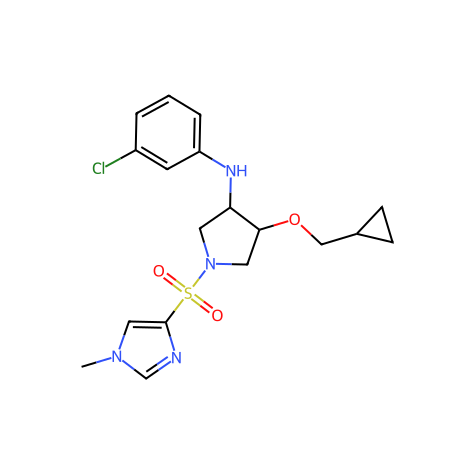 Cn1cnc(S(=O)(=O)N2CC(Nc3cccc(Cl)c3)C(OCC3CC3)C2)c1